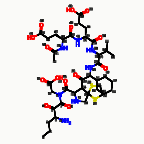 CCCC(N)C(=O)C(=O)N(CC(=O)O)C(=O)C1NCC2(SCCS2)C1C(=O)C(NC(=O)[C@@H](NC(=O)[C@H](CCC(=O)O)NC(=O)[C@H](CCC(=O)O)NC(C)=O)C(C)C)C1CCCCC1